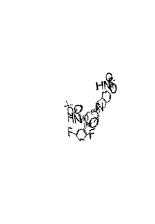 CC(C)(C)OC(=O)N[C@H]1C[C@@H](N2Cc3ccc(NS(C)(=O)=O)cc3C2)CO[C@@H]1c1cc(F)ccc1F